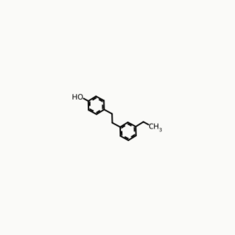 CCc1cccc(CCc2ccc(O)cc2)c1